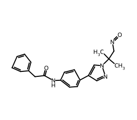 CC(C)(CN=O)n1cc(-c2ccc(NC(=O)Cc3ccccc3)cc2)cn1